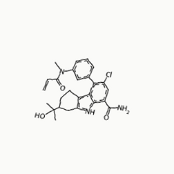 C=CC(=O)N(C)c1cccc(-c2c(Cl)cc(C(N)=O)c3[nH]c4c(c23)CCC(C(C)(C)O)C4)c1